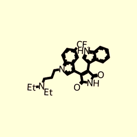 CCN(CC)CCCn1cc(C2=C(c3c[nH]c4ccccc34)C(=O)NC2=O)c2cc(C(F)(F)F)ccc21